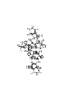 COC(=O)[C@H](CNC(=O)[C@H](Cc1c[nH]c2ccccc12)NC(=O)OC(C)(C)C)NC(=O)[C@H](Cc1c[nH]c2ccccc12)NC(=O)OC(C)(C)C